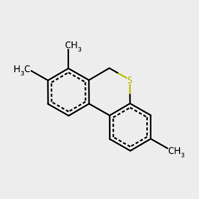 Cc1ccc2c(c1)SCc1c-2ccc(C)c1C